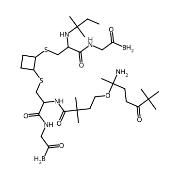 BC(=O)CNC(=O)C(CSC1CCC1SCC(NC(C)(C)CC)C(=O)NCC(B)=O)NC(=O)C(C)(C)CCOC(C)(N)CCC(=O)C(C)(C)C